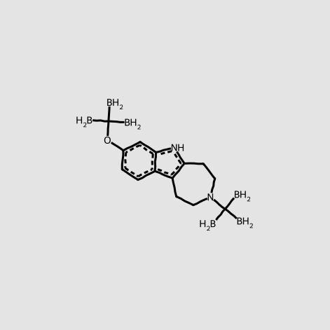 BC(B)(B)Oc1ccc2c3c([nH]c2c1)CCN(C(B)(B)B)CC3